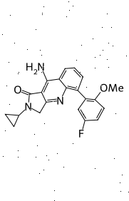 COc1ccc(F)cc1-c1cccc2c(N)c3c(nc12)CN(C1CC1)C3=O